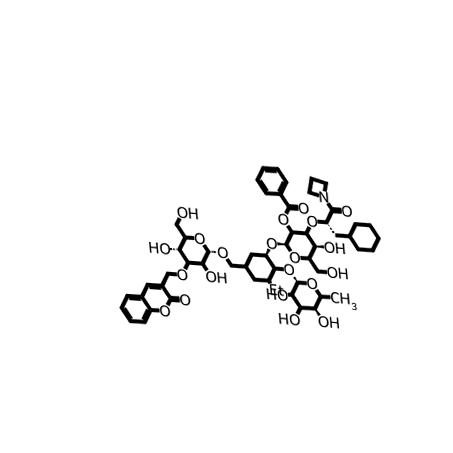 CCC1CC(CO[C@H]2OC(CO)[C@@H](O)C(OCc3cc4ccccc4oc3=O)C2O)C[C@@H](O[C@@H]2OC(CO)[C@H](O)C(O[C@@H](CC3CCCCC3)C(=O)N3CCC3)C2OC(=O)c2ccccc2)C1O[C@@H]1OC(C)[C@@H](O)C(O)C1O